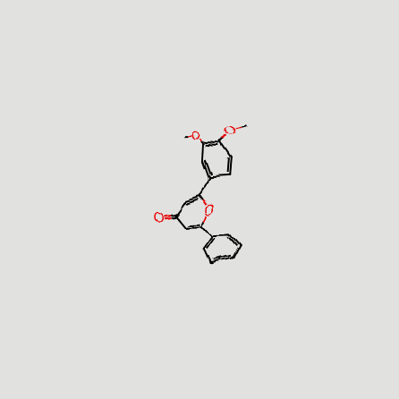 COc1ccc(-c2cc(=O)cc(-c3ccccc3)o2)cc1OC